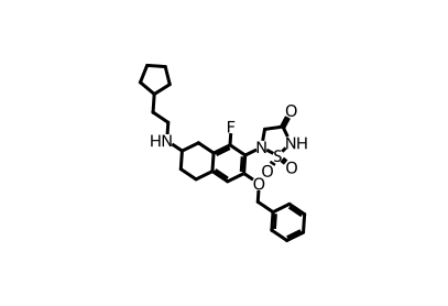 O=C1CN(c2c(OCc3ccccc3)cc3c(c2F)CC(NCCC2CCCC2)CC3)S(=O)(=O)N1